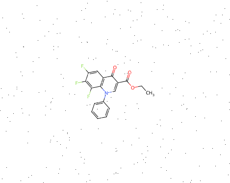 CCOC(=O)c1cn(-c2ccccc2)c2c(F)c(F)c(F)cc2c1=O